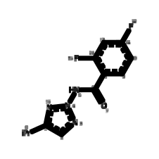 CC(C)c1cnn(NC(=O)c2ccc(F)cc2F)n1